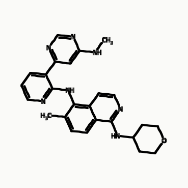 CNc1cc(-c2cccnc2Nc2c(C)ccc3c(NC4CCOCC4)nccc23)ncn1